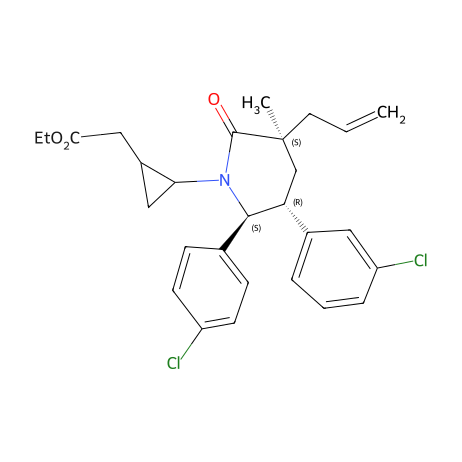 C=CC[C@@]1(C)C[C@H](c2cccc(Cl)c2)[C@@H](c2ccc(Cl)cc2)N(C2CC2CC(=O)OCC)C1=O